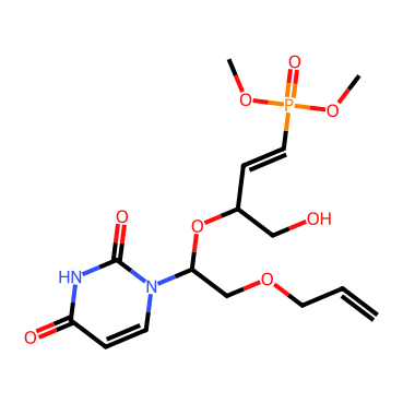 C=CCOCC(OC(/C=C/P(=O)(OC)OC)CO)n1ccc(=O)[nH]c1=O